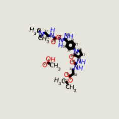 CC(=O)O.CC(C)OC(=O)CCNC(=O)N[C@H]1CCN(c2ccc(C(=N)NOC(=O)NCCN(C)C)cc2)C1=O